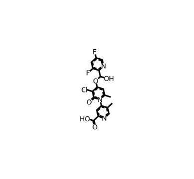 Cc1cnc(C(=O)O)cc1-n1c(C)cc(OC(O)c2ncc(F)cc2F)c(Cl)c1=O